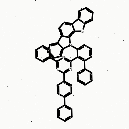 c1ccc(-c2ccc(-c3nc(-c4ccccc4)nc(-c4c(-c5ccccc5)cccc4-n4c5ccccc5c5ccc6c7ccccc7sc6c54)n3)cc2)cc1